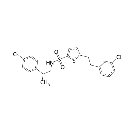 CC(CNS(=O)(=O)c1ccc([CH]Cc2cccc(Cl)c2)s1)c1ccc(Cl)cc1